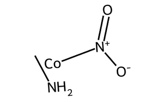 CN.O=[N+]([O-])[Co]